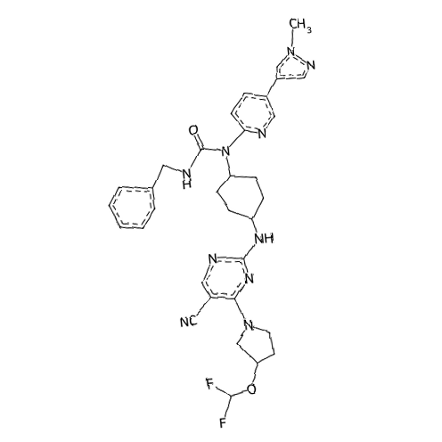 Cn1cc(-c2ccc(N(C(=O)NCc3ccccc3)C3CCC(Nc4ncc(C#N)c(N5CCC(OC(F)F)C5)n4)CC3)nc2)cn1